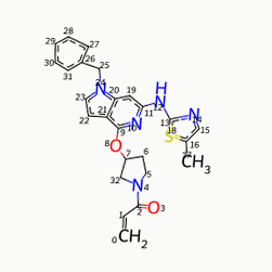 C=CC(=O)N1CCC(Oc2nc(Nc3ncc(C)s3)cc3c2ccn3Cc2ccccc2)C1